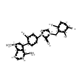 Cn1cc(-c2ccc(-n3ncn(Cc4c(F)ccc(F)c4F)c3=O)cc2F)c2c(N)ncnc21